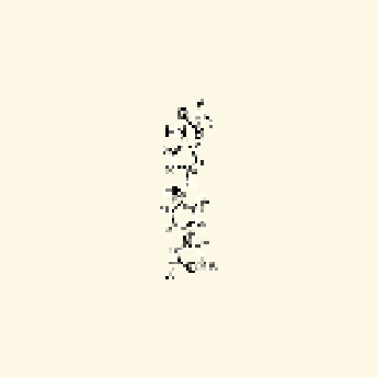 CC(C)S(=O)(=O)Nc1ccc(CNc2ccc(N3C[C@@H](C)O[C@@H](C)C3)cc2F)cc1